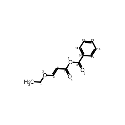 CCOC=CC(=O)OC(=O)c1ccccc1